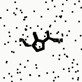 CC(C)C[C@H]1CCN([C@@H](C)C(=O)O)C1=O